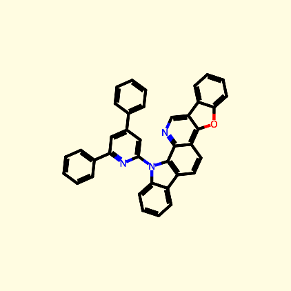 c1ccc(-c2cc(-c3ccccc3)nc(-n3c4ccccc4c4ccc5c(ncc6c7ccccc7oc65)c43)c2)cc1